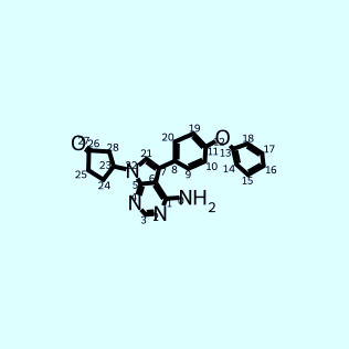 Nc1ncnc2c1c(-c1ccc(Oc3ccccc3)cc1)cn2C1CCC(=O)C1